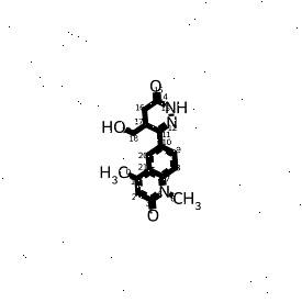 Cc1cc(=O)n(C)c2ccc(C3=NNC(=O)CC3CO)cc12